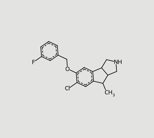 CC1c2cc(Cl)c(OCc3cccc(F)c3)cc2C2CNCC12